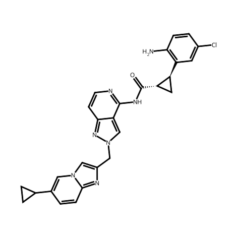 Nc1ccc(Cl)cc1[C@H]1C[C@@H]1C(=O)Nc1nccc2nn(Cc3cn4cc(C5CC5)ccc4n3)cc12